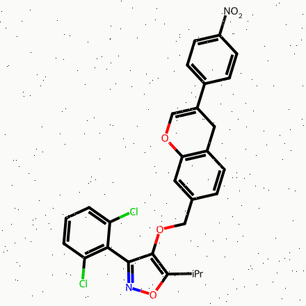 CC(C)c1onc(-c2c(Cl)cccc2Cl)c1OCc1ccc2c(c1)OC=C(c1ccc([N+](=O)[O-])cc1)C2